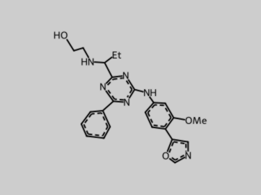 CCC(NCCO)c1nc(Nc2ccc(-c3cnco3)c(OC)c2)nc(-c2ccccc2)n1